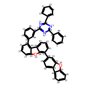 c1ccc(-c2nc(-c3ccccc3)nc(-c3cccc(-c4cccc5oc6c(-c7ccc8c(c7)oc7ccccc78)cccc6c45)c3)n2)cc1